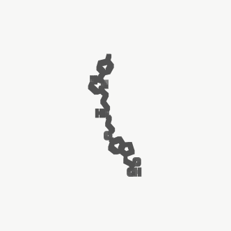 Cc1ccc(-c2nccc(CCCNCCCOc3ccc4c(c3)CC[C@H]4CC(=O)O)n2)cc1